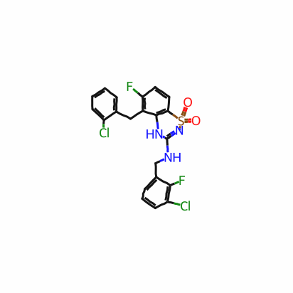 O=S1(=O)N=C(NCc2cccc(Cl)c2F)Nc2c1ccc(F)c2Cc1ccccc1Cl